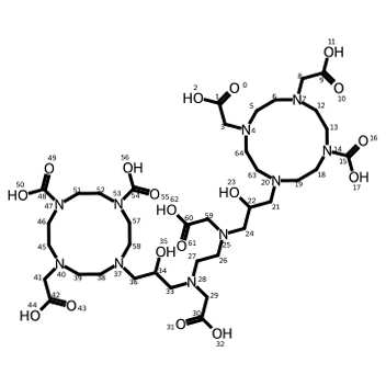 O=C(O)CN1CCN(CC(=O)O)CCN(C(=O)O)CCN(CC(O)CN(CCN(CC(=O)O)CC(O)CN2CCN(CC(=O)O)CCN(C(=O)O)CCN(C(=O)O)CC2)CC(=O)O)CC1